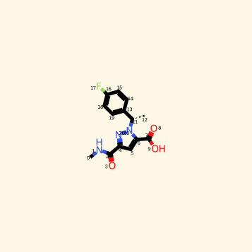 CNC(=O)c1cc(C(=O)O)n([C@@H](C)c2ccc(F)cc2)n1